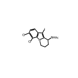 CC(=O)NC1CCCn2c1c(I)c1ccc(Cl)c(Cl)c12